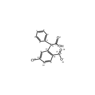 O=C(O)N(c1ccccc1)c1cc(Cl)ncc1[N+](=O)[O-]